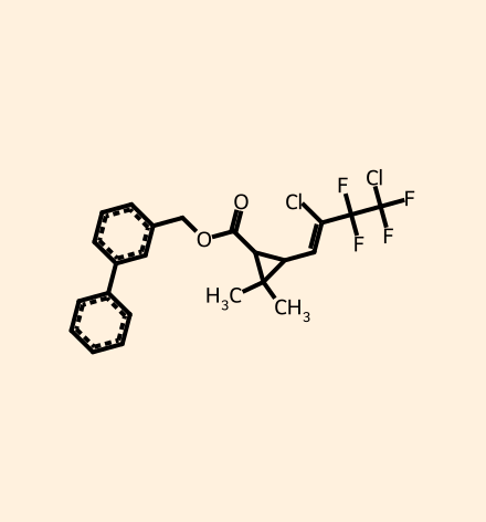 CC1(C)C(C=C(Cl)C(F)(F)C(F)(F)Cl)C1C(=O)OCc1cccc(-c2ccccc2)c1